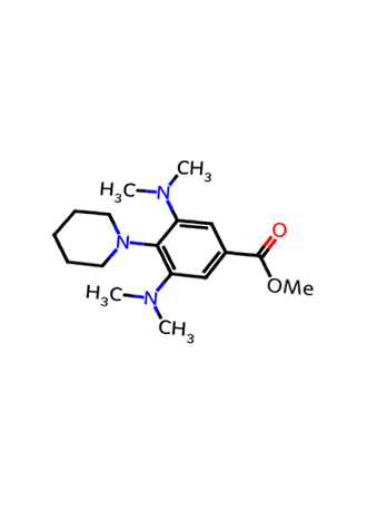 COC(=O)c1cc(N(C)C)c(N2CCCCC2)c(N(C)C)c1